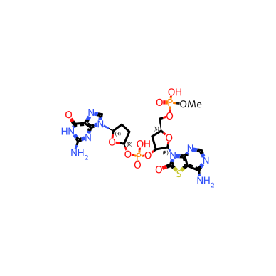 COP(=O)(O)OC[C@@H]1CC(OP(=O)(O)O[C@@H]2CC[C@H](n3cnc4c(=O)[nH]c(N)nc43)O2)[C@H](n2c(=O)sc3c(N)ncnc32)O1